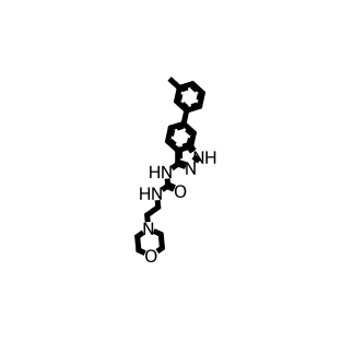 Cc1cccc(-c2ccc3c(NC(=O)NCCN4CCOCC4)n[nH]c3c2)c1